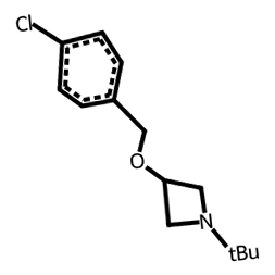 CC(C)(C)N1CC(OCc2ccc(Cl)cc2)C1